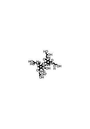 CC(O)N(C(=O)Nc1c(I)c(C(=O)NCC(O)CO)c(I)c(C(=O)NCC(O)CO)c1I)c1c(I)c(C(=O)NCC(O)CO)c(I)c(C(=O)NCC(O)CO)c1I